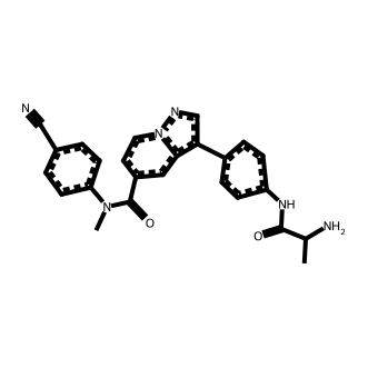 CC(N)C(=O)Nc1ccc(-c2cnn3ccc(C(=O)N(C)c4ccc(C#N)cc4)cc23)cc1